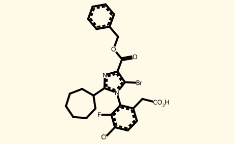 O=C(O)Cc1ccc(Cl)c(F)c1-n1c(C2CCCCCC2)nc(C(=O)OCc2ccccc2)c1Br